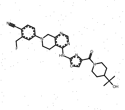 CC(C)(O)C1CCN(C(=O)c2coc(Nc3ncnc4c3CCN(c3ccc(C#N)c(CF)c3)C4)n2)CC1